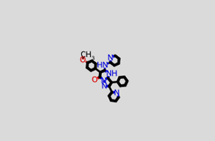 COc1ccc(-c2c(Nc3ccccn3)[nH]c3c(-c4ccccc4)c(-c4ccccn4)nn3c2=O)cc1